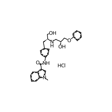 Cl.Cn1cc(C(=O)Nc2ccc(C[C@@H](CO)NC[C@H](O)COc3ccccc3)cc2)c2ccccc21